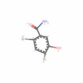 NC(=O)c1cc(O)c(Br)cc1Br